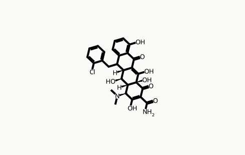 CN(C)[C@@H]1C(O)=C(C(N)=O)C(=O)[C@@]2(O)C(O)=C3C(=O)c4c(O)cccc4C(Cc4ccccc4Cl)[C@H]3[C@H](O)[C@@H]12